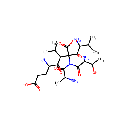 CC(N)C(=O)N(C(=O)C(N)C(C)O)C(C(=O)O)(C(=O)C(N)C(C)C)C(C(=O)C(N)CCC(=O)O)C(C)C